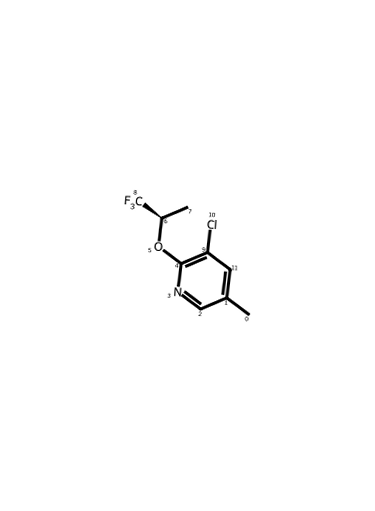 Cc1cnc(O[C@H](C)C(F)(F)F)c(Cl)c1